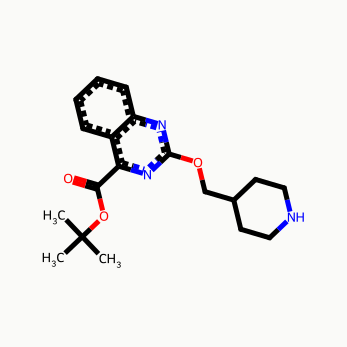 CC(C)(C)OC(=O)c1nc(OCC2CCNCC2)nc2ccccc12